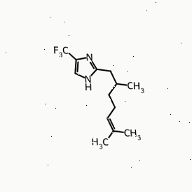 CC(C)=CCCC(C)Cc1nc(C(F)(F)F)c[nH]1